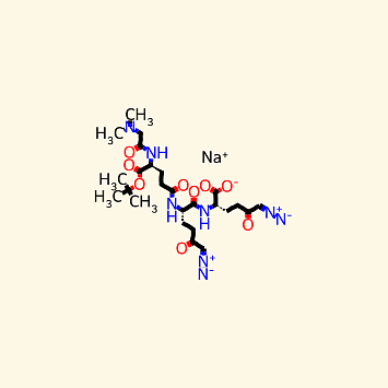 CN(C)CC(=O)N[C@@H](CCC(=O)N[C@@H](CCC(=O)C=[N+]=[N-])C(=O)N[C@@H](CCC(=O)C=[N+]=[N-])C(=O)[O-])C(=O)OC(C)(C)C.[Na+]